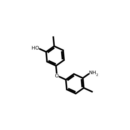 Cc1ccc(Oc2ccc(C)c(O)c2)cc1N